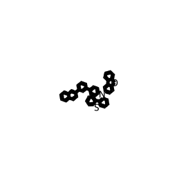 c1cc(-c2ccc(N(c3ccc4oc5ccccc5c4c3)c3cccc4sc5ccccc5c34)cc2)cc(-c2ccc3ccccc3c2)c1